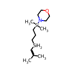 CC(C)=C[SiH2]CCC[Si](C)(C)N1CCOCC1